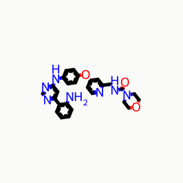 Nc1ccccc1-c1cc(Nc2ccc(Oc3ccnc(CNC(=O)N4CCOCC4)c3)cc2)ncn1